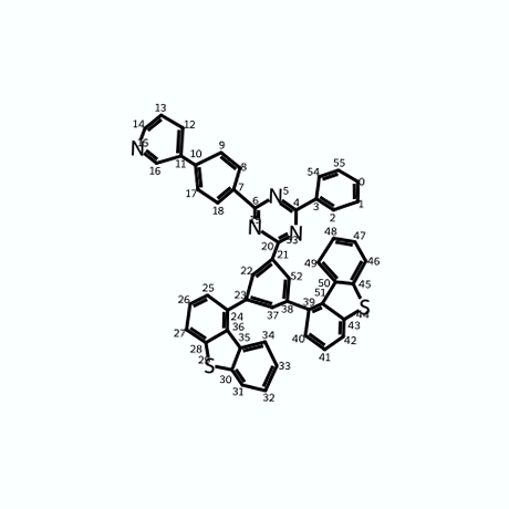 c1ccc(-c2nc(-c3ccc(-c4cccnc4)cc3)nc(-c3cc(-c4cccc5sc6ccccc6c45)cc(-c4cccc5sc6ccccc6c45)c3)n2)cc1